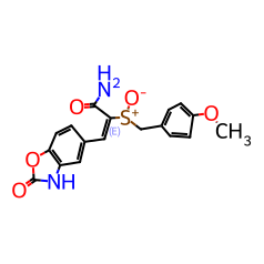 COc1ccc(C[S+]([O-])/C(=C/c2ccc3oc(=O)[nH]c3c2)C(N)=O)cc1